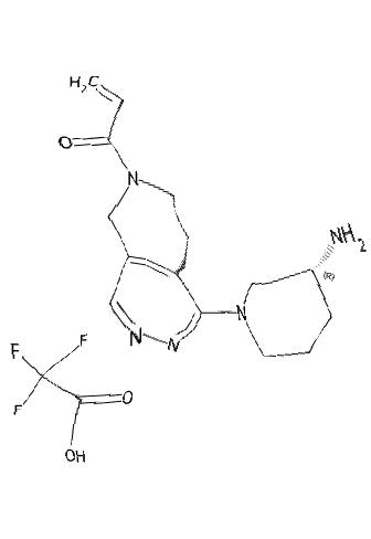 C=CC(=O)N1CCc2c(cnnc2N2CCC[C@@H](N)C2)C1.O=C(O)C(F)(F)F